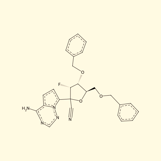 N#CC1(c2ccc3c(N)ncnn23)O[C@H](COCc2ccccc2)[C@@H](OCc2ccccc2)[C@H]1F